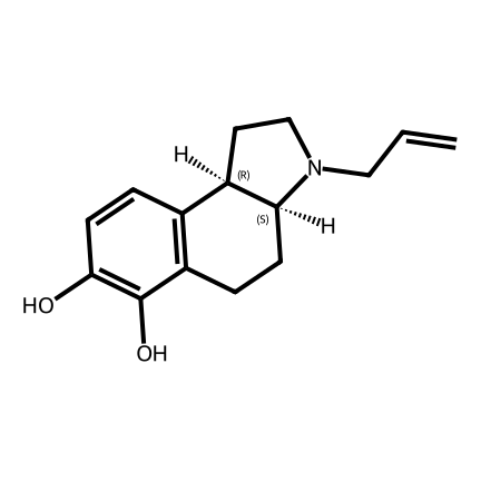 C=CCN1CC[C@@H]2c3ccc(O)c(O)c3CC[C@@H]21